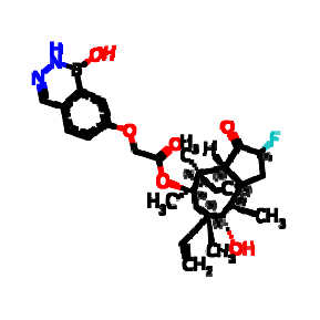 C=C[C@]1(C)C[C@@H](OC(=O)COc2ccc3c(c2)B(O)NN=C3)[C@]2(C)[C@H](C)CC[C@]3(C[C@H](F)C(=O)[C@H]32)[C@@H](C)[C@@H]1O